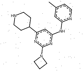 Cc1ccnc(Nc2cc(C3CCNCC3)nc(N3CCC3)n2)c1